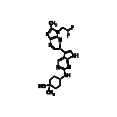 Cc1nc2ncc(-c3c[nH]c4nc(NC5CCC(C)(O)CC5)ncc34)nc2n1CC(F)F